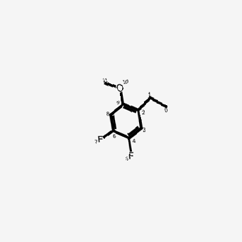 CCc1cc(F)c(F)cc1OC